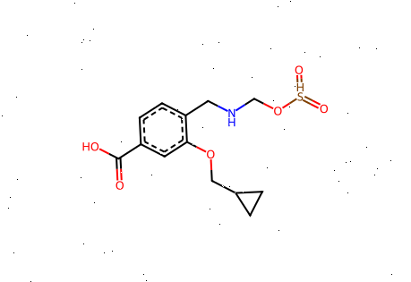 O=C(O)c1ccc(CNCO[SH](=O)=O)c(OCC2CC2)c1